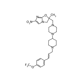 CC1(CN2CCN(C3CCN(CC=Cc4ccc(OC(F)(F)F)cc4)CC3)CC2)Cn2cc([N+](=O)[O-])nc2O1